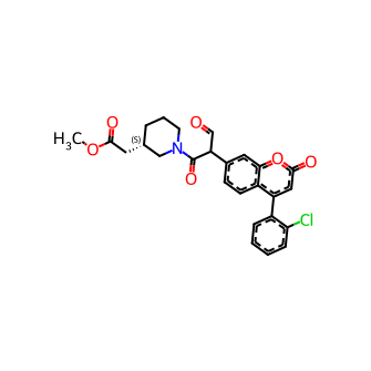 COC(=O)C[C@@H]1CCCN(C(=O)C(C=O)c2ccc3c(-c4ccccc4Cl)cc(=O)oc3c2)C1